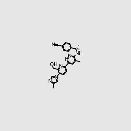 Cc1cn(-c2ccc(-c3cc(C)c(N[C@@H](C)c4ccc(C#N)cc4)nn3)nc2CO)cn1